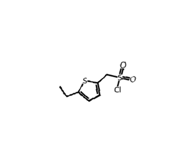 CCc1ccc(CS(=O)(=O)Cl)s1